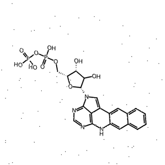 O=P(O)(O)OP(=O)(O)OC[C@H]1O[C@@H](n2cc3c4c(ncnc42)Nc2cc4ccccc4cc2-3)C(O)[C@H]1O